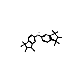 CC1c2cc(Nc3ccc4c(c3)C(C)(C)C(C)C4(C)C)ccc2C(C)(C)C1C